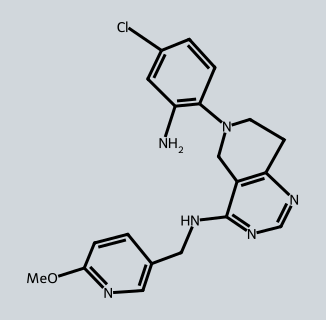 COc1ccc(CNc2ncnc3c2CN(c2ccc(Cl)cc2N)CC3)cn1